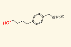 CCCCCCCCc1ccc(CCCCO)cc1